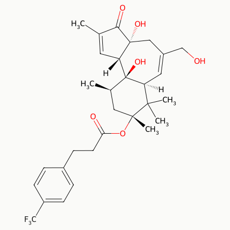 CC1=C[C@H]2[C@@]3(O)[C@H](C)C[C@@](C)(OC(=O)CCc4ccc(C(F)(F)F)cc4)C(C)(C)[C@@H]3C=C(CO)C[C@]2(O)C1=O